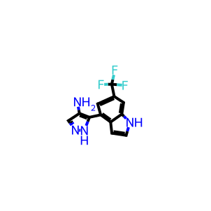 Nc1cn[nH]c1-c1cc(C(F)(F)F)cc2[nH]ccc12